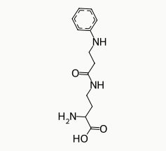 NC(CCNC(=O)CCNc1ccccc1)C(=O)O